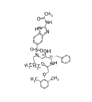 CC(=O)Nc1nc2cc(S(=O)(=O)N(CC(C)C)C[C@@H](O)[C@H](Cc3ccccc3)NC(=O)COc3c(C)cccc3C)ccc2[nH]1